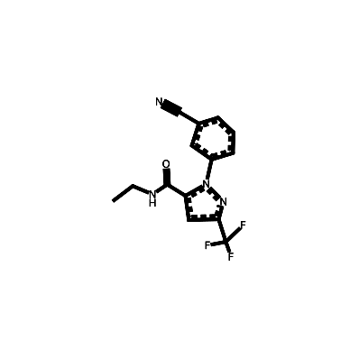 CCNC(=O)c1cc(C(F)(F)F)nn1-c1cccc(C#N)c1